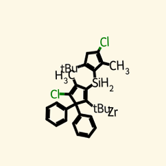 CC1=C(Cl)CC(C(C)(C)C)=C1[SiH2]C1=C(C(C)(C)C)C(c2ccccc2)(c2ccccc2)C(Cl)=C1C.[Zr]